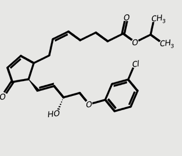 CC(C)OC(=O)CCC/C=C\CC1C=CC(=O)[C@@H]1/C=C/[C@@H](O)COc1cccc(Cl)c1